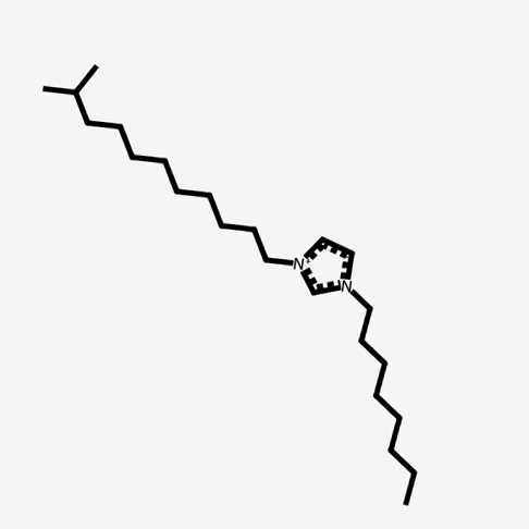 CCCCCCCCn1cc[n+](CCCCCCCCCC(C)C)c1